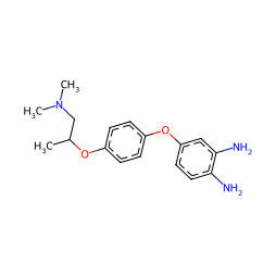 CC(CN(C)C)Oc1ccc(Oc2ccc(N)c(N)c2)cc1